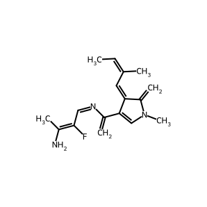 C=C(/N=C\C(F)=C(/C)N)c1cn(C)c(=C)/c1=C\C(C)=C/C